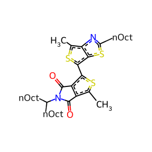 CCCCCCCCc1nc2c(C)sc(-c3sc(C)c4c3C(=O)N(C(CCCCCCCC)CCCCCCCC)C4=O)c2s1